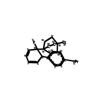 CCCc1ccc(C2C=CC=CC2(F)C23CCC(CC)(CC2)CC3)cc1